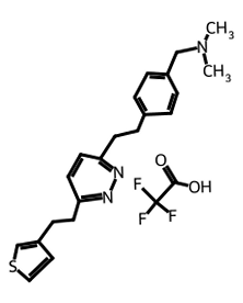 CN(C)Cc1ccc(CCc2ccc(CCc3ccsc3)nn2)cc1.O=C(O)C(F)(F)F